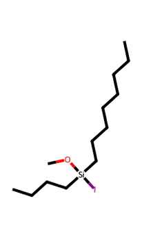 CCCCCCCC[Si](I)(CCCC)OC